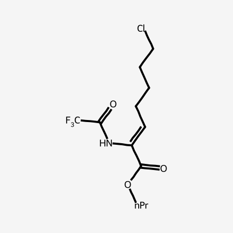 CCCOC(=O)C(=CCCCCCl)NC(=O)C(F)(F)F